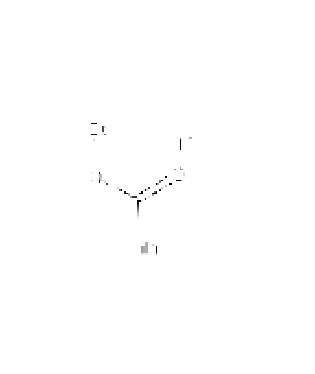 CCCC(=O)OCC.Cl.I